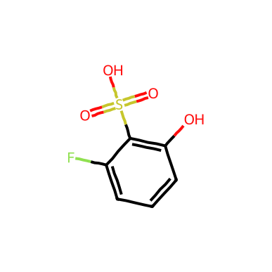 O=S(=O)(O)c1c(O)cccc1F